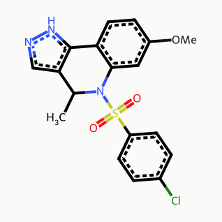 COc1ccc2c(c1)N(S(=O)(=O)c1ccc(Cl)cc1)C(C)c1cn[nH]c1-2